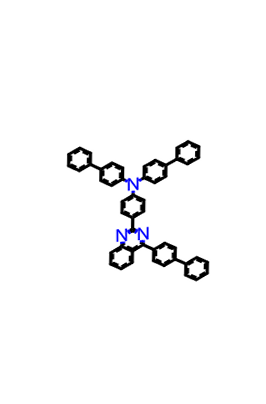 c1ccc(-c2ccc(-c3nc(-c4ccc(N(c5ccc(-c6ccccc6)cc5)c5ccc(-c6ccccc6)cc5)cc4)nc4ccccc34)cc2)cc1